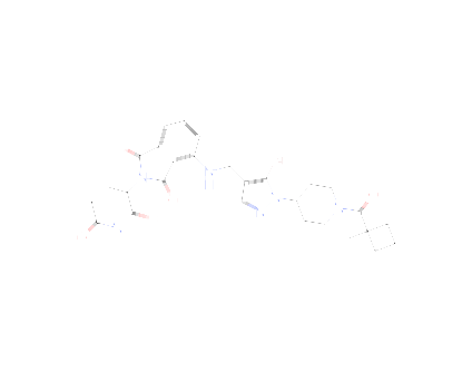 CC1(C(=O)N2CCC(n3ncc(CNc4cccc5c4C(=O)N(C4CCC(=O)NC4=O)C5=O)c3Br)CC2)CCC1